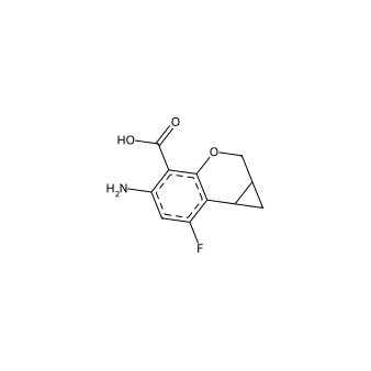 Nc1cc(F)c2c(c1C(=O)O)OCC1CC21